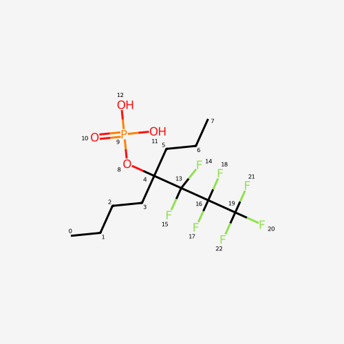 CCCCC(CCC)(OP(=O)(O)O)C(F)(F)C(F)(F)C(F)(F)F